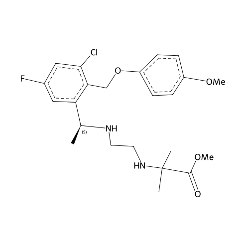 COC(=O)C(C)(C)NCCN[C@@H](C)c1cc(F)cc(Cl)c1COc1ccc(OC)cc1